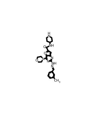 Cc1cccc(/C=N/Nc2nc(N3CCOCC3)c3oc(C(=O)NC4CCNCC4)cc3n2)c1